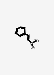 CC(C)N(C=Cc1ccccc1)C(C)C